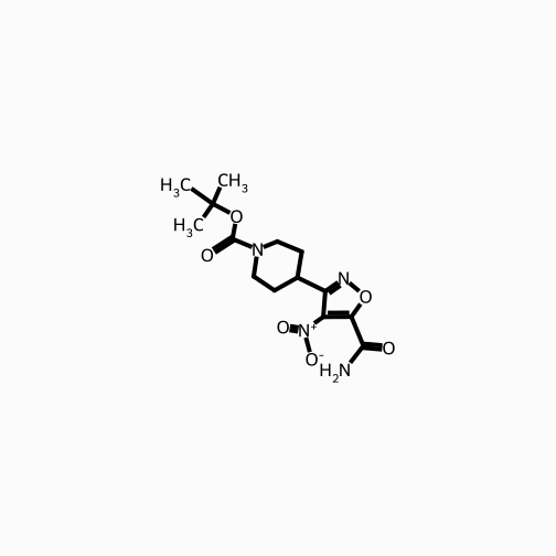 CC(C)(C)OC(=O)N1CCC(c2noc(C(N)=O)c2[N+](=O)[O-])CC1